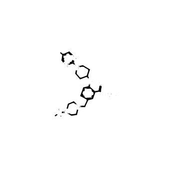 CCc1cnc(N2CCC(Oc3ccc(CN4CCN(S(C)(=O)=O)CC4)cc3C(=O)OC)CC2)nc1